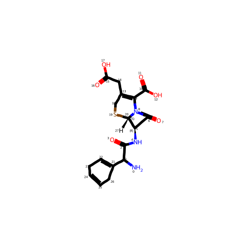 NC(C(=O)N[C@@H]1C(=O)N2C(C(=O)O)=C(CC(=O)O)CS[C@@H]12)C1=CCC=CC1